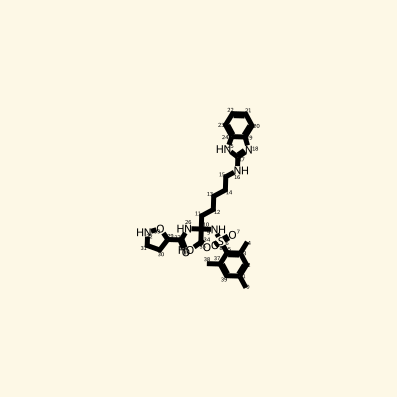 Cc1cc(C)c(S(=O)(=O)NC(CCCCCNc2nc3ccccc3[nH]2)(NC(=O)C2CCNO2)C(=O)O)c(C)c1